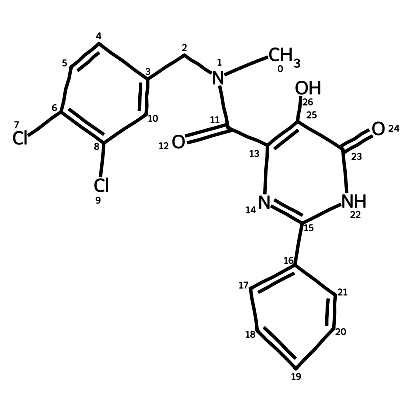 CN(Cc1ccc(Cl)c(Cl)c1)C(=O)c1nc(-c2ccccc2)[nH]c(=O)c1O